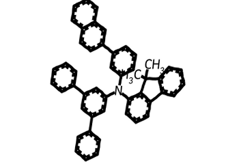 CC1(C)c2ccccc2-c2cccc(N(c3cccc(-c4ccc5ccccc5c4)c3)c3cc(-c4ccccc4)cc(-c4ccccc4)c3)c21